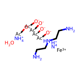 CC(=O)[O-].CC(=O)[O-].CC(=O)[O-].CC(=O)[O-].CC(=O)[O-].NCCNCCN.O.[Fe+3].[NH4+].[NH4+]